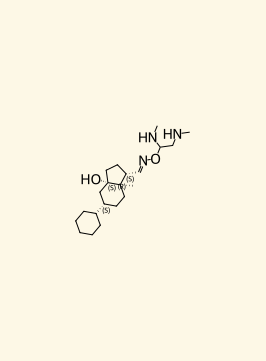 CNCC(NC)ON=C[C@H]1CC[C@]2(O)C[C@@H](C3CCCCC3)CC[C@]12C